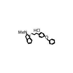 CN[C@H]1Cc2ccccc2[C@H]1CCCc1ccc(OCc2ccccc2)cc1.Cl